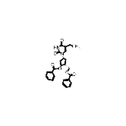 CCc1cn([C@@H]2C[C@H](COC(=O)c3ccccc3)[C@@H](OC(=O)c3ccccc3)C2)c(=O)[nH]c1=O